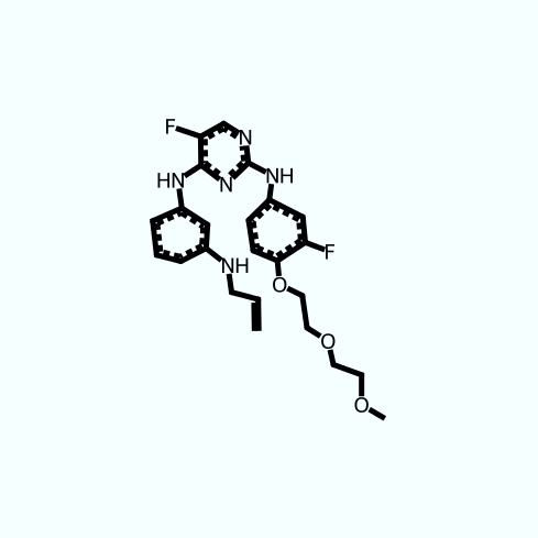 C=CCNc1cccc(Nc2nc(Nc3ccc(OCCOCCOC)c(F)c3)ncc2F)c1